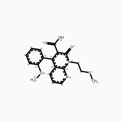 COCCn1c(=O)c(C(=O)O)c(-c2ccccc2OC)c2cccnc21